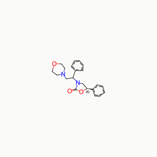 O=C1O[C@H](c2ccccc2)CN1C(CN1CCOCC1)c1ccccc1